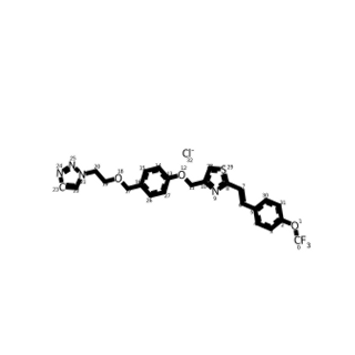 FC(F)(F)Oc1ccc(C=Cc2nc(COc3ccc(COCCN4C=[C+]N=N4)cc3)cs2)cc1.[Cl-]